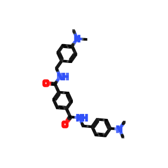 CN(C)c1ccc(CNC(=O)c2ccc(C(=O)NCc3ccc(N(C)C)cc3)cc2)cc1